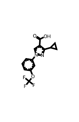 O=C(O)c1cn(-c2cccc(OC(F)(F)F)c2)nc1C1CC1